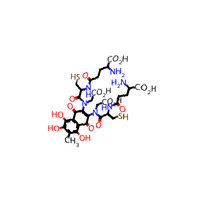 Cc1c(O)c(O)c2c(c1O)C(=O)C(N(CC(=O)O)C(=O)C(CS)NC(=O)CCC(N)C(=O)O)=C(N(CC(=O)O)C(=O)C(CS)NC(=O)CCC(N)C(=O)O)C2=O